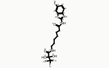 O=C(CCCCCCNC(=O)C(O)(O)C(F)(F)F)Nc1nc2ccc(F)cc2s1